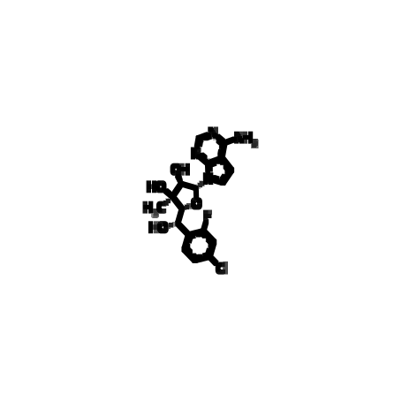 C[C@@]1(O)[C@@H]([C@@H](O)c2ccc(Cl)cc2F)O[C@@H](n2ccc3c(N)ncnc32)[C@@H]1O